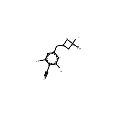 N#Cc1c(F)cc(CC2CC(F)(F)C2)cc1F